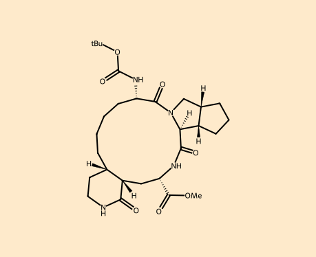 COC(=O)[C@@H]1C[C@@H]2C(=O)NCC[C@@H]2CCCC[C@H](NC(=O)OC(C)(C)C)C(=O)N2C[C@@H]3CCC[C@@H]3[C@H]2C(=O)N1